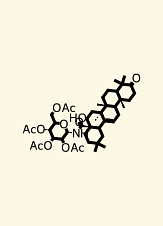 CC(=O)OCC1O[C@H](NC(=O)[C@]23CCC(C)(C)CC2C2=CCC4[C@@]5(C)CCC(=O)C(C)(C)C5CC[C@@]4(C)[C@]2(C)CC3O)C(OC(C)=O)C(OC(C)=O)[C@@H]1OC(C)=O